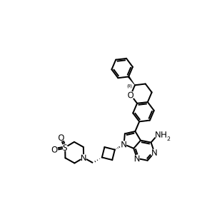 Nc1ncnc2c1c(-c1ccc3c(c1)O[C@@H](c1ccccc1)CC3)cn2[C@H]1C[C@@H](CN2CCS(=O)(=O)CC2)C1